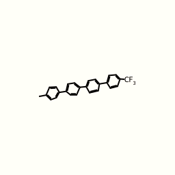 Cc1ccc(-c2ccc(-c3ccc(-c4ccc(C(F)(F)F)cc4)cc3)cc2)cc1